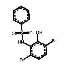 O=S(=O)(Nc1c(Br)ccc(Br)c1O)c1ccccc1